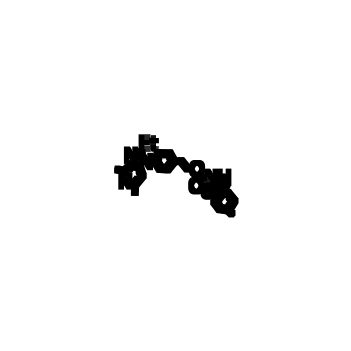 CCc1nc2c(C)nc(C)cc2n1-c1ccc(CCOC(=O)NS(=O)(=O)c2ccc(C)cc2)cc1